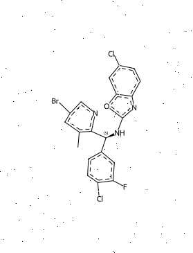 Cc1cc(Br)cnc1[C@@H](Nc1nc2ccc(Cl)cc2o1)c1ccc(Cl)c(F)c1